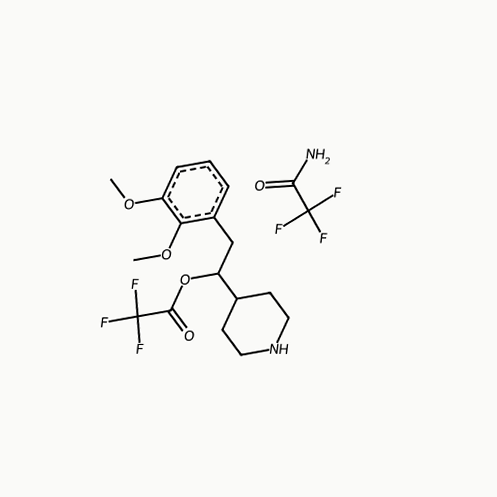 COc1cccc(CC(OC(=O)C(F)(F)F)C2CCNCC2)c1OC.NC(=O)C(F)(F)F